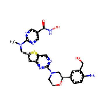 CN(Cc1cc2nc(N3CCOC(c4ccc(N)c(CO)c4)C3)ncc2s1)c1ncc(C(=O)NO)cn1